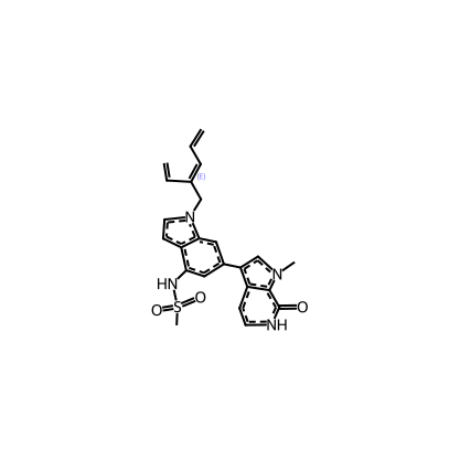 C=C/C=C(\C=C)Cn1ccc2c(NS(C)(=O)=O)cc(-c3cn(C)c4c(=O)[nH]ccc34)cc21